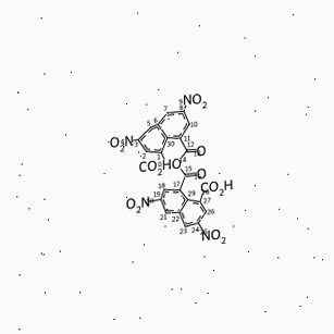 O=C(O)c1cc([N+](=O)[O-])cc2cc([N+](=O)[O-])cc(C(=O)OC(=O)c3cc([N+](=O)[O-])cc4cc([N+](=O)[O-])cc(C(=O)O)c34)c12